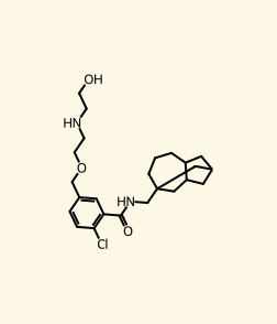 O=C(NCC12CCCC3CC(CC3C1)C2)c1cc(COCCNCCO)ccc1Cl